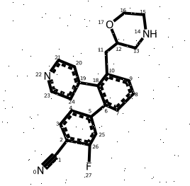 N#Cc1ccc(-c2cccc(CC3CNCCO3)c2-c2ccncc2)cc1F